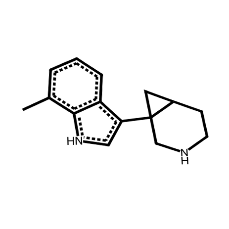 Cc1cccc2c(C34CNCCC3C4)c[nH]c12